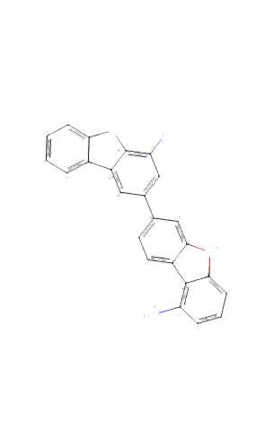 Nc1cc(-c2ccc3c(c2)oc2cccc(N)c23)cc2c1sc1ccccc12